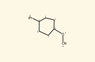 CC(C)C1CCC(OC#N)CC1